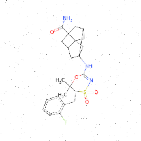 CC1(C)OC(NC23CC4CC5(C(N)=O)CC2CC45C3)=NS(=O)(=O)[C@@H]1Cc1ccccc1F